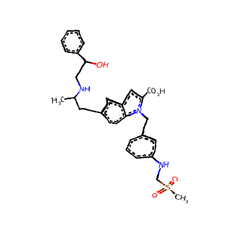 CC(Cc1ccc2c(c1)cc(C(=O)O)n2Cc1cccc(NCS(C)(=O)=O)c1)NCC(O)c1ccccc1